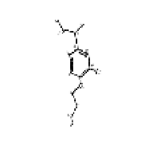 COCCOc1ccc(C(C)SC)cc1F